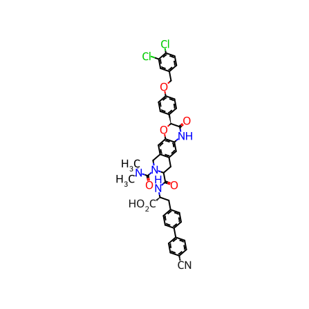 CN(C)C(=O)N1Cc2cc3c(cc2CC1C(=O)N[C@@H](Cc1ccc(-c2ccc(C#N)cc2)cc1)C(=O)O)NC(=O)[C@H](c1ccc(OCc2ccc(Cl)c(Cl)c2)cc1)O3